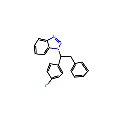 Fc1ccc(C(Cc2cc[c]cc2)n2nnc3ccccc32)cc1